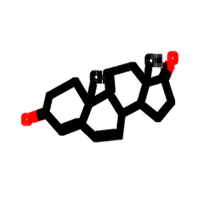 CC12CCC(=O)C=C1C=CC1C2=CCC2(C)C(=O)CCC12